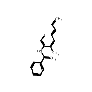 C=C/C=C/C=C(C)\C(=C/I)NC(=C)c1ccccc1